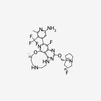 Cc1nc(N)cc(-c2nc3c4c(nc(OC[C@@]56CCCN5C[C@H](F)C6)nc4c2F)NCCNCC[C@H](C)O3)c1C(F)(F)F